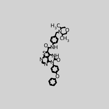 CC1COCC(C)N1Cc1ccc(NC(=O)c2sc3ncnc4c3c2NC(=O)N4c2ccc(Oc3ccccc3)cc2)cc1